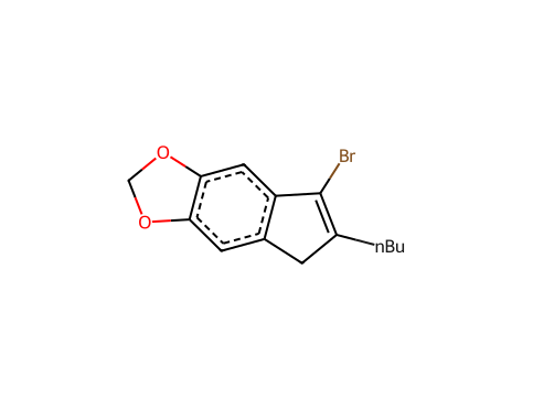 CCCCC1=C(Br)c2cc3c(cc2C1)OCO3